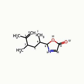 C=C(C)C(C)CC(C)C1N=CC(=O)O1